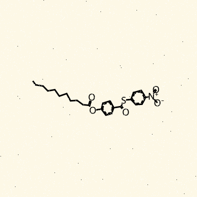 CCCCCCCCCCC(=O)Oc1ccc(C(=O)Sc2ccc([N+](=O)[O-])cc2)cc1